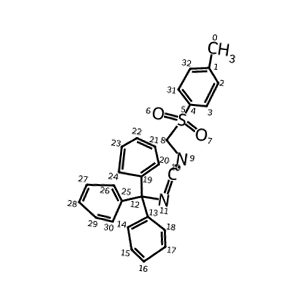 Cc1ccc(S(=O)(=O)CN=C=NC(c2ccccc2)(c2ccccc2)c2ccccc2)cc1